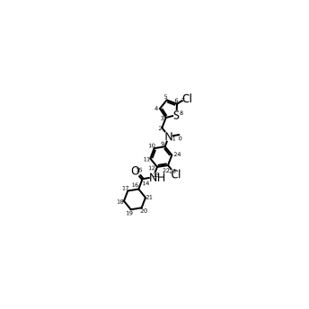 CN(Cc1ccc(Cl)s1)c1ccc(NC(=O)C2CCCCC2)c(Cl)c1